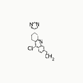 C=Cc1ccc2c(Cl)c3c(nc2c1)CC(c1cncnc1)CC3